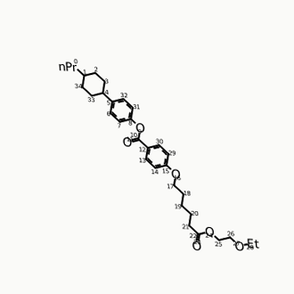 CCCC1CCC(c2ccc(OC(=O)c3ccc(OCCCCCC(=O)OCCOCC)cc3)cc2)CC1